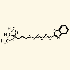 CO[Si](C)(CCCSSSSSSc1nc2ccccc2s1)OC